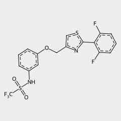 O=S(=O)(Nc1cccc(OCc2csc(-c3c(F)cccc3F)n2)c1)C(F)(F)F